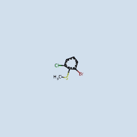 CSc1c(Cl)cccc1Br